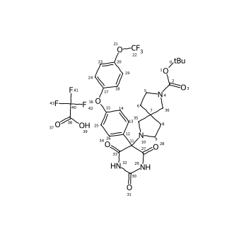 CC(C)(C)OC(=O)N1CCC2(CCN(C3(c4ccc(Oc5ccc(OC(F)(F)F)cc5)cc4)C(=O)NC(=O)NC3=O)C2)C1.O=C(O)C(F)(F)F